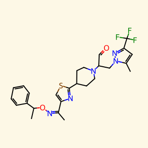 CC(=NOC(C)c1ccccc1)c1csc(C2CCN(C(C=O)Cn3nc(C(F)(F)F)cc3C)CC2)n1